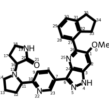 COc1cc2[nH]nc(-c3ccc(C4CCCN4C4CCNC4=O)nc3)c2nc1-c1cccc2c1CCC2